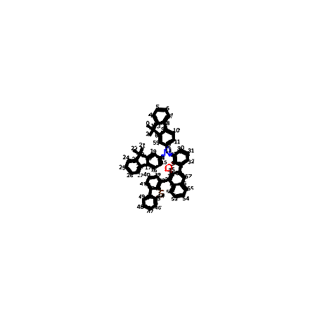 CC1(C)c2ccccc2-c2ccc(N(c3ccc4c(c3)C(C)(C)c3ccccc3-4)c3cccc4c3oc3c(-c5cccc6c5sc5ccccc56)c5ccccc5cc34)cc21